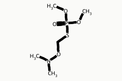 COP(=O)(OC)SCON(C)C